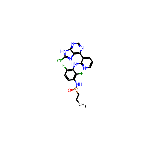 CCC[S+]([O-])Nc1ccc(F)c(Nc2ncccc2-c2ncnc3[nH]c(Cl)nc23)c1F